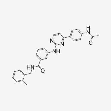 CC(=O)Nc1ccc(-c2ccnc(Nc3cccc(C(=O)NCc4ccccc4C)c3)n2)cc1